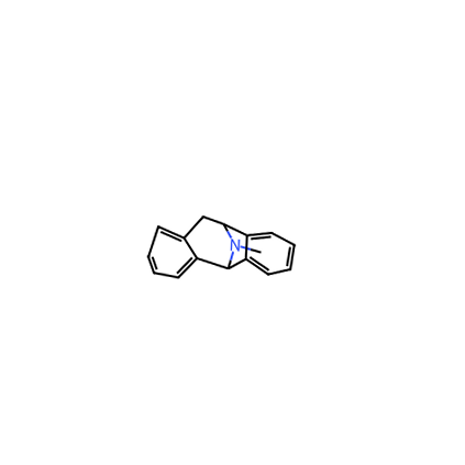 CN1C2Cc3ccccc3C1c1ccccc12